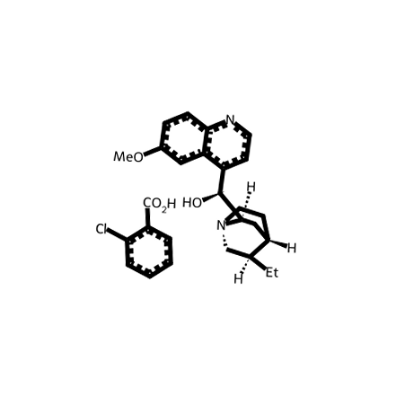 CC[C@H]1C[N@]2CC[C@H]1C[C@@H]2[C@@H](O)c1ccnc2ccc(OC)cc12.O=C(O)c1ccccc1Cl